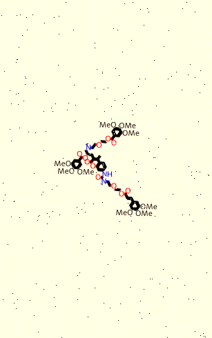 COc1cc(C=CC(=O)OCCOCCN(C)C(=O)Nc2ccc3c(C)c(CC(CN(C)CCOCCOC(=O)c4cc(OC)c(OC)c(OC)c4)OC(=O)c4cc(OC)c(OC)c(OC)c4)c(=O)oc3c2)cc(OC)c1OC